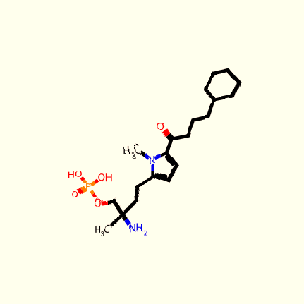 Cn1c(CCC(C)(N)COP(=O)(O)O)ccc1C(=O)CCCC1CCCCC1